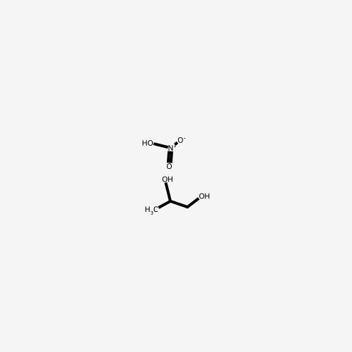 CC(O)CO.O=[N+]([O-])O